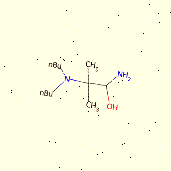 CCCCN(CCCC)C(C)(C)C(N)O